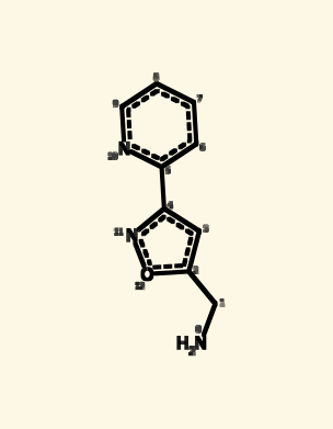 NCc1cc(-c2ccccn2)no1